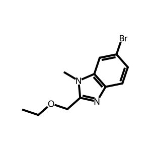 CCOCc1nc2ccc(Br)cc2n1C